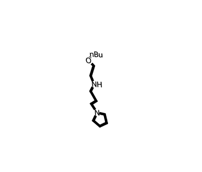 CCCCOCCNCCCN1CCCC1